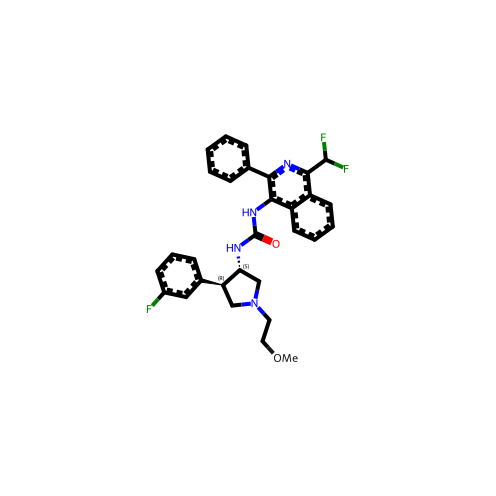 COCCN1C[C@@H](NC(=O)Nc2c(-c3ccccc3)nc(C(F)F)c3ccccc23)[C@H](c2cccc(F)c2)C1